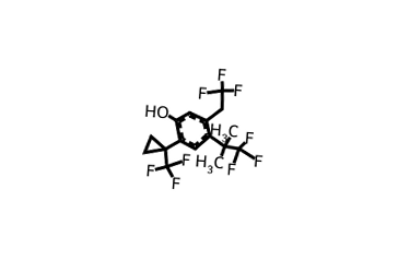 CC(C)(c1cc(C2(C(F)(F)F)CC2)c(O)cc1CC(F)(F)F)C(F)(F)F